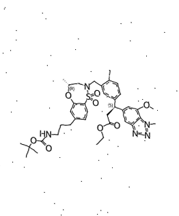 CCOC(=O)C[C@@H](c1ccc(C)c(CN2C[C@@H](C)Oc3cc(CCCNC(=O)OC(C)(C)C)ccc3S2(=O)=O)c1)c1cc(OC)c2c(c1)nnn2C